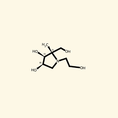 C[C@]1(CO)[C@H](O)[C@H](O)CN1CCO